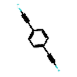 FC#Cc1ccc(C#CF)cc1